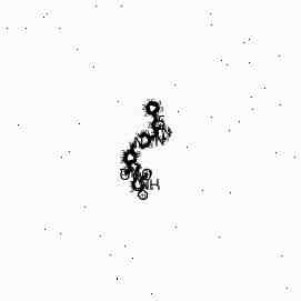 O=C1CCN(N2Cc3cc(CN4CCC(c5ncnc6sc(-c7ccccc7)cc56)CC4)ccc3C2=O)C(=O)N1